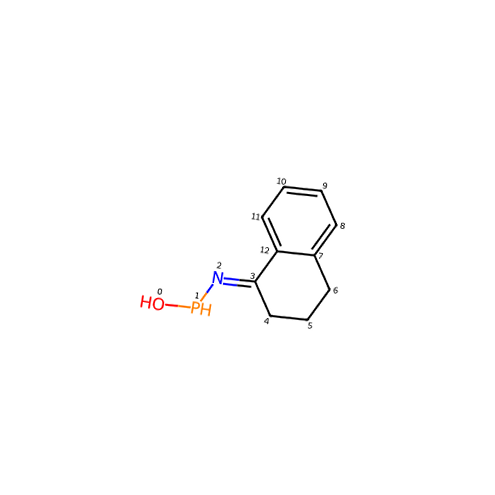 OP/N=C1\CCCc2ccccc21